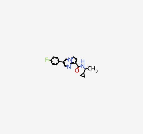 CC(NC(=O)c1ccn2cc(-c3ccc(F)cc3)cnc12)C1CC1